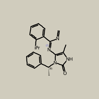 C=N/C(=N\c1c(C)[nH]c(=O)n1[C@H](C)c1ccccc1)c1ccccc1C(C)C